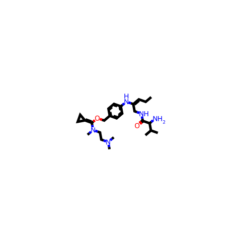 CC/C=C(\CNC(=O)C(N)C(C)C)Nc1ccc(COC(=C2CC2)N(C)CCN(C)C)cc1